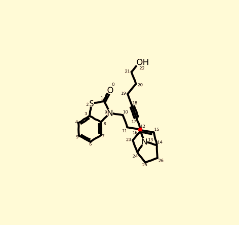 O=c1sc2ccccc2n1CCCN1C2C=C(C#CCCCO)CC1CC2